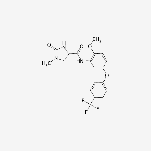 COc1ccc(Oc2ccc(C(F)(F)F)cc2)cc1NC(=O)C1CN(C)C(=O)N1